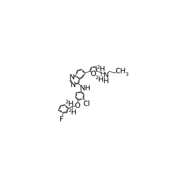 [2H]C([2H])(NCCC)c1ccc(-c2ccc3ncnc(Nc4ccc(OC([2H])([2H])c5cccc(F)c5)c(Cl)c4)c3c2)o1